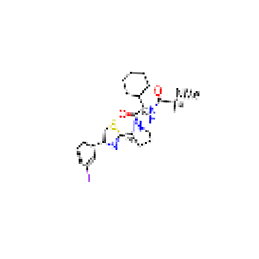 CN[C@@H](C)C(=O)N[C@H](C(=O)N1CCC[C@H]1c1nc(-c2cccc(I)c2)cs1)C1CCCCC1